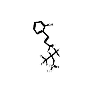 O=C(/C=C/c1ccccc1O)OC(CS(=O)(=O)O)(C(F)(F)F)C(F)(F)F